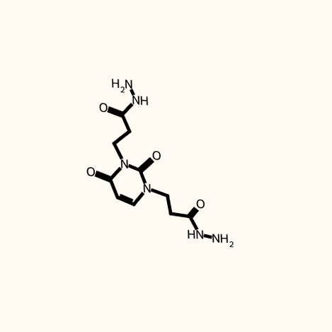 NNC(=O)CCn1ccc(=O)n(CCC(=O)NN)c1=O